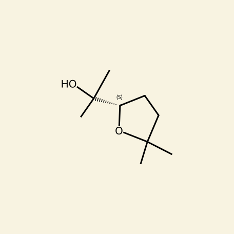 CC1(C)CC[C@@H](C(C)(C)O)O1